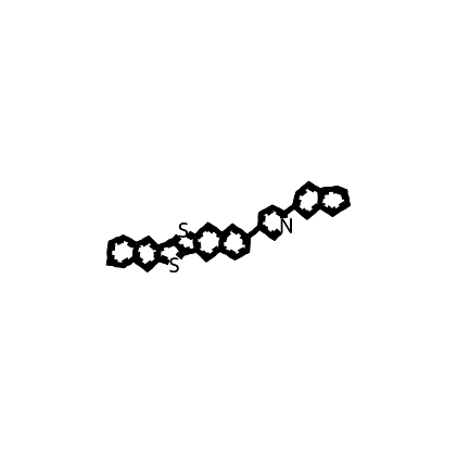 c1ccc2cc(-c3ccc(-c4ccc5cc6c(cc5c4)sc4c5cc7ccccc7cc5sc64)cn3)ccc2c1